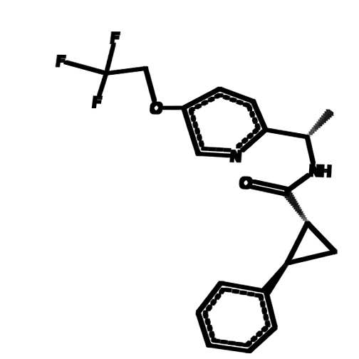 C[C@H](NC(=O)[C@@H]1C[C@H]1c1ccccc1)c1ccc(OCC(F)(F)F)cn1